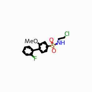 COc1cc(S(=O)(=O)NCCCl)ccc1-c1ccccc1F